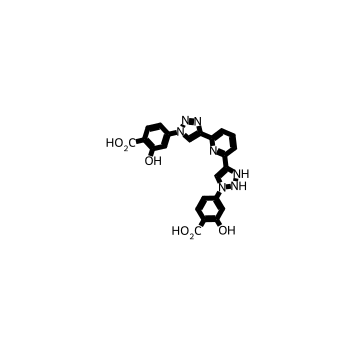 O=C(O)c1ccc(N2C=C(c3cccc(-c4cn(-c5ccc(C(=O)O)c(O)c5)nn4)n3)NN2)cc1O